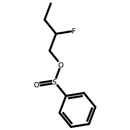 CCC(F)COS(=O)c1ccccc1